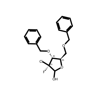 OC1O[C@H](COCc2ccccc2)[C@@H](OCc2ccccc2)[C@]1(F)Cl